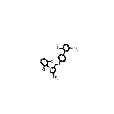 CCOc1ccc(C)cc1-c1ccc(OCc2cc(C(F)(F)F)nn2-c2c(Cl)cccc2Cl)cc1